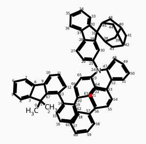 CC1(C)c2ccccc2-c2cccc(-c3ccccc3-c3ccc(N(c4ccc5c(c4)C4(c6ccccc6-5)C5CC6CC(C5)CC4C6)c4ccccc4-c4ccc(-c5ccccc5)cc4)cc3)c21